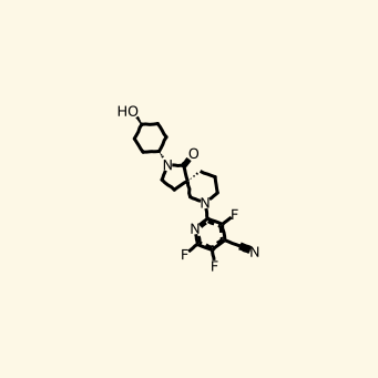 N#Cc1c(F)c(F)nc(N2CCC[C@@]3(CCN([C@H]4CC[C@H](O)CC4)C3=O)C2)c1F